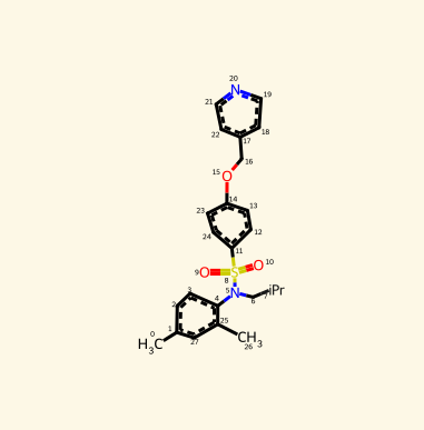 Cc1ccc(N(CC(C)C)S(=O)(=O)c2ccc(OCc3ccncc3)cc2)c(C)c1